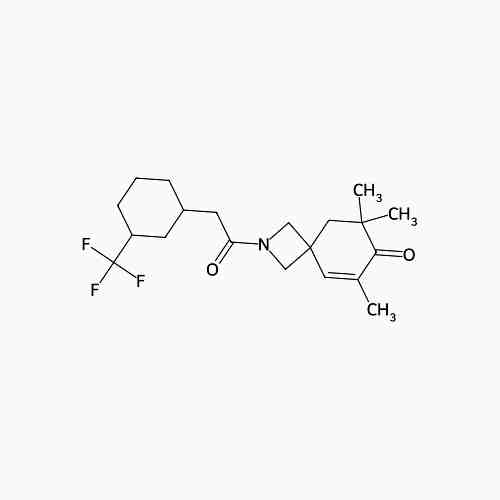 CC1=CC2(CN(C(=O)CC3CCCC(C(F)(F)F)C3)C2)CC(C)(C)C1=O